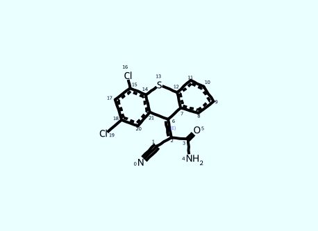 N#C/C(C(N)=O)=C1/c2ccccc2Sc2c(Cl)cc(Cl)cc21